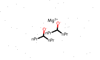 CCCC([O-])CCC.CCCC([O-])CCC.[Mg+2]